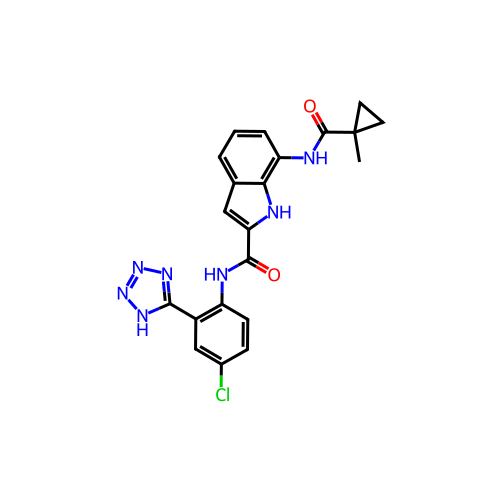 CC1(C(=O)Nc2cccc3cc(C(=O)Nc4ccc(Cl)cc4-c4nnn[nH]4)[nH]c23)CC1